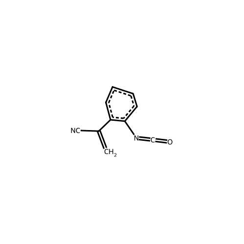 C=C(C#N)c1ccccc1N=C=O